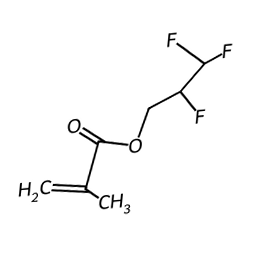 C=C(C)C(=O)OCC(F)C(F)F